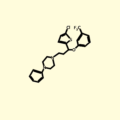 FC(F)(F)c1cccc(OC(CCN2CCN(c3ccccc3)CC2)c2ccc(Cl)s2)c1